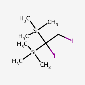 C[Si](C)(C)C(I)(CI)[Si](C)(C)C